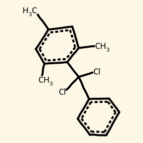 Cc1cc(C)c(C(Cl)(Cl)c2ccccc2)c(C)c1